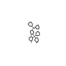 Cc1ccc2c(c1)C(c1cc#ccc1)(c1ccccc1)c1cc(N(c3ccccc3)c3ccccc3)ccc1-2